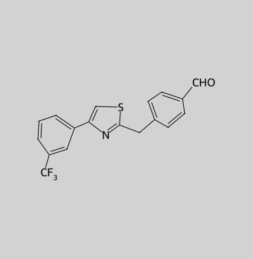 O=Cc1ccc(Cc2nc(-c3cccc(C(F)(F)F)c3)cs2)cc1